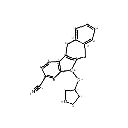 N#Cc1ccc2c3c(n(OC4CCOC4)c2c1)Cc1ccccc1C3